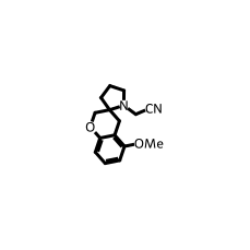 COc1cccc2c1CC1(CCCN1CC#N)CO2